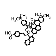 CN(C)c1ccc(C(=O)Nc2cc(-c3ccc4ccccc4c3C(=O)C=Cc3ccc(C(=O)O)cc3)cc3ccc4c(c23)C(C)(C)CC2=C4C=CC(C)(C)C2)cc1